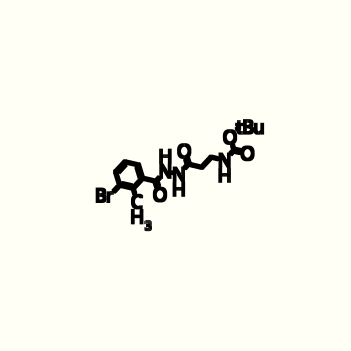 Cc1c(Br)cccc1C(=O)NNC(=O)CCNC(=O)OC(C)(C)C